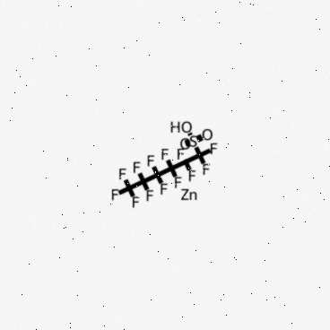 O=S(=O)(O)C(F)(F)C(F)(F)C(F)(F)C(F)(F)C(F)(F)C(F)(F)F.[Zn]